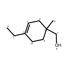 CCC1=CCC(C)(CO)CC1